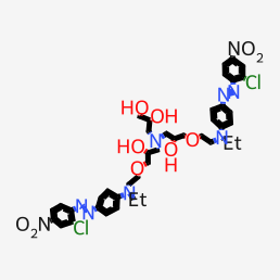 CCN(CCOCC(O)CN(CC(O)CO)CC(O)COCCN(CC)c1ccc(/N=N/c2ccc([N+](=O)[O-])cc2Cl)cc1)c1ccc(/N=N/c2ccc([N+](=O)[O-])cc2Cl)cc1